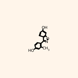 Cc1cc(O)ccc1-c1noc2cc(O)ccc12